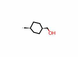 [CH2][C@H]1CC[C@@H](CO)CC1